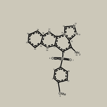 COc1ccc(S(=O)(=O)c2c(N)c3nncn3c3nc4ccccc4nc23)cc1